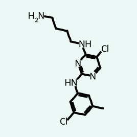 Cc1cc(Cl)cc(Nc2ncc(Cl)c(NCCCCN)n2)c1